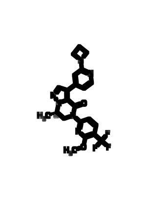 COc1nc(N2C[C@H](C)n3ncc(-c4ccnc(N5CCC5)c4)c3C2=O)ccc1C(F)(F)F